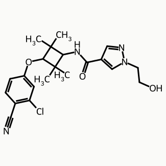 CC1(C)C(NC(=O)c2cnn(CCO)c2)C(C)(C)C1Oc1ccc(C#N)c(Cl)c1